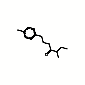 CCC(C)C(=O)CCCc1ccc(C)cc1